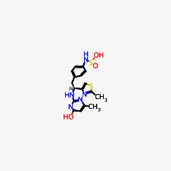 Cc1cc(O)nc(N[C@@H](Cc2ccc(NS(=O)O)cc2)c2csc(C)n2)n1